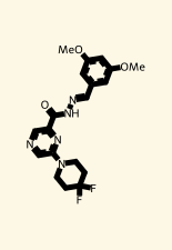 COc1cc(C=NNC(=O)c2cncc(N3CCC(F)(F)CC3)n2)cc(OC)c1